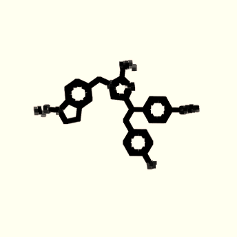 COc1ccc(C(Cc2ccc(Br)cc2)c2cn(Cc3ccc4c(c3)CCN4C)c(N)n2)cc1